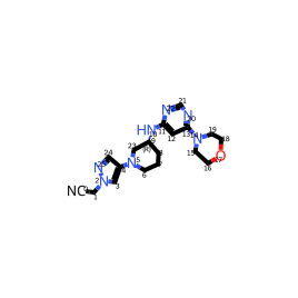 N#CCn1cc(N2CCC[C@@H](Nc3cc(N4CCOCC4)ncn3)C2)cn1